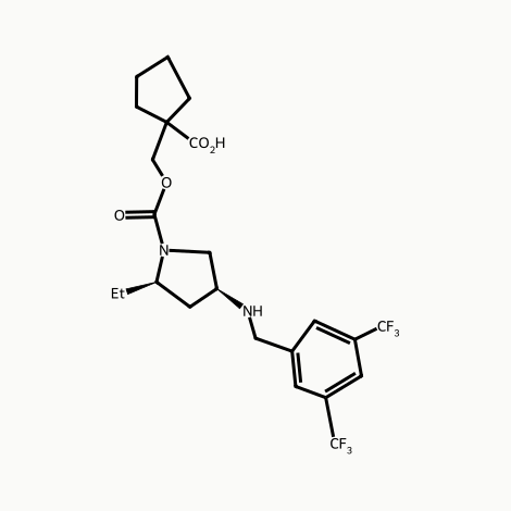 CC[C@@H]1C[C@H](NCc2cc(C(F)(F)F)cc(C(F)(F)F)c2)CN1C(=O)OCC1(C(=O)O)CCCC1